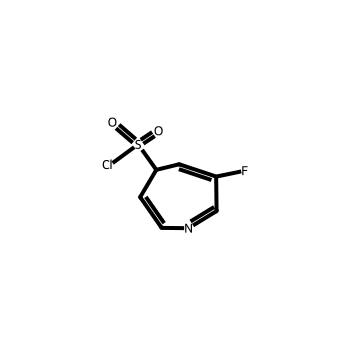 O=S(=O)(Cl)C1C=CN=CC(F)=C1